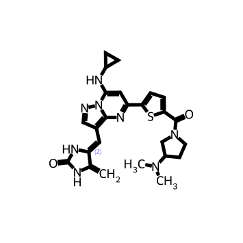 C=c1[nH]c(=O)[nH]/c1=C\c1cnn2c(NC3CC3)cc(-c3ccc(C(=O)N4CCC(N(C)C)C4)s3)nc12